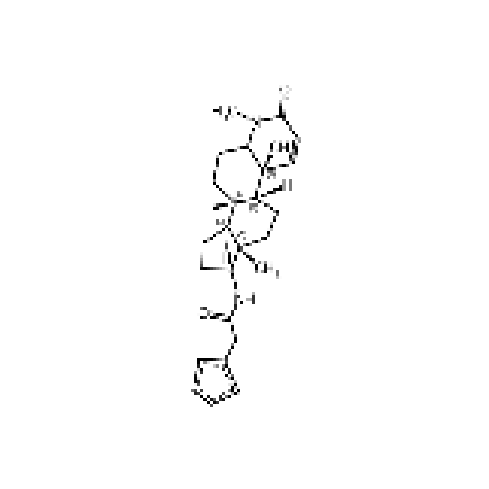 CN1C(=O)C=C[C@@]2(C)C1CC[C@@H]1[C@H]2CC[C@]2(C)C(NC(=O)Cc3ccsc3)CC[C@@H]12